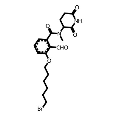 CN(C(=O)c1cccc(OCCCCCCBr)c1C=O)C1CCC(=O)NC1=O